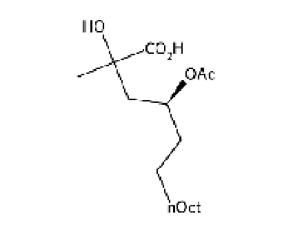 CCCCCCCCCC[C@@H](CC(C)(O)C(=O)O)OC(C)=O